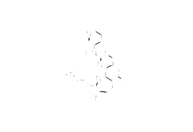 CN(C)CCCC1=NC2=C(CC=C1Cl)C(=O)Cc1cnc(Nc3cccnc3)nc12